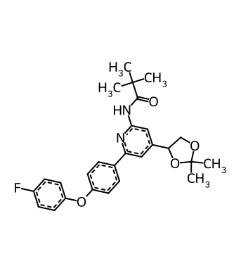 CC1(C)OCC(c2cc(NC(=O)C(C)(C)C)nc(-c3ccc(Oc4ccc(F)cc4)cc3)c2)O1